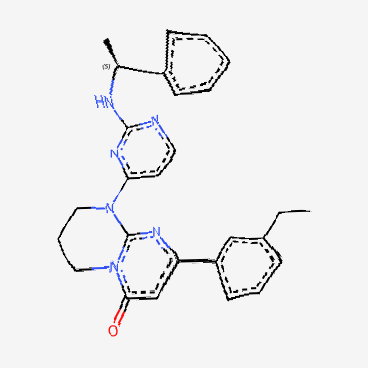 CCc1cccc(-c2cc(=O)n3c(n2)N(c2ccnc(N[C@@H](C)c4ccccc4)n2)CCC3)c1